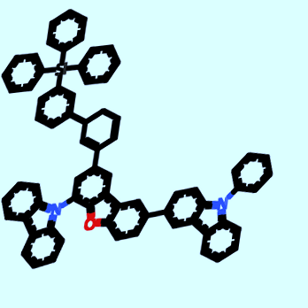 C1=CC(c2cc(-n3c4ccccc4c4ccccc43)c3oc4ccc(-c5ccc6c(c5)c5ccccc5n6-c5ccccc5)cc4c3c2)=CC(c2cccc([Si](c3ccccc3)(c3ccccc3)c3ccccc3)c2)C1